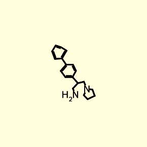 NCC(CN1CCCC1)c1ccc(-c2ccccc2)cc1